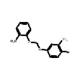 Cc1ccc(OCOc2ccccc2N)cc1N